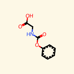 O=C(O)CNC(=O)Oc1ccccc1